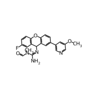 COc1cncc(-c2ccc3c(c2)C(/N=C(/N)N(C)C=O)c2cc(F)ccc2O3)c1